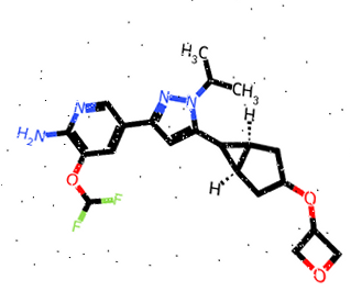 CC(C)n1nc(-c2cnc(N)c(OC(F)F)c2)cc1C1[C@H]2CC(OC3COC3)C[C@@H]12